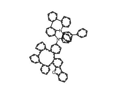 c1ccc(-c2ccc(N(c3ccc4c(c3)c3ccccc3c3ccccc3c3ccccc3c3c4ccc4c5ccccc5oc43)c3cccc4c3N(c3ccccc3)c3ccccc3-c3ccccc3-4)cc2)cc1